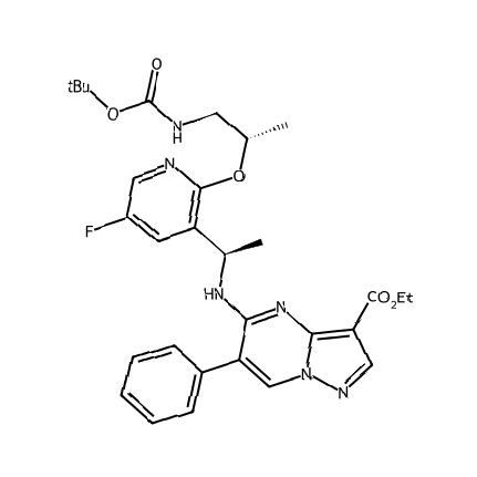 CCOC(=O)c1cnn2cc(-c3ccccc3)c(N[C@H](C)c3cc(F)cnc3O[C@@H](C)CNC(=O)OC(C)(C)C)nc12